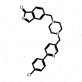 O=C1N=Cc2cc(CN3CCN(Cc4ccc(-c5ccc(Cl)cc5)nc4)CC3)ccc21